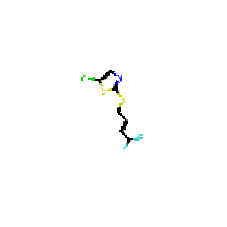 FC(F)C=CCSc1ncc(Cl)s1